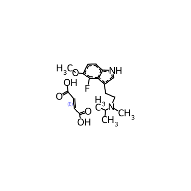 COc1ccc2[nH]cc(CCN(C)C(C)C)c2c1F.O=C(O)/C=C/C(=O)O